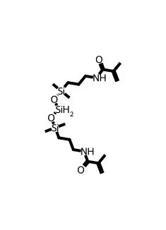 C=C(C)C(=O)NCCC[Si](C)(C)O[SiH2]O[Si](C)(C)CCCNC(=O)C(=C)C